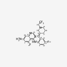 Nc1cc(F)c2c(Nc3ccc(F)cc3OC3CCCN(CC(F)(F)F)C3)ncnc2c1